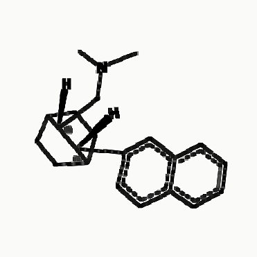 CN(C)C[C@H]1C2CCC(CC2)[C@H]1c1ccc2ccccc2c1